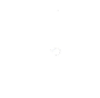 CCCCCCCCCCCCc1cnc(C2CCC(CC[C@H]3CC[C@H](CCCC)CC3)CC2)nc1